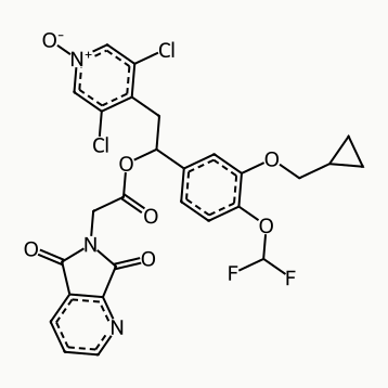 O=C(CN1C(=O)c2cccnc2C1=O)OC(Cc1c(Cl)c[n+]([O-])cc1Cl)c1ccc(OC(F)F)c(OCC2CC2)c1